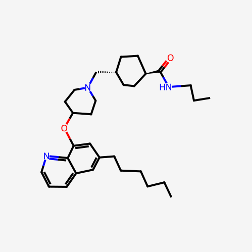 CCCCCCc1cc(OC2CCN(C[C@H]3CC[C@H](C(=O)NCCC)CC3)CC2)c2ncccc2c1